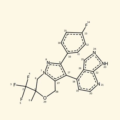 CC1(C(F)(F)F)Cn2nc(-c3ccc(F)cc3)c(-c3ccnc4[nH]ncc34)c2CO1